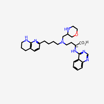 O=C(O)[C@H](CCN(CCCCc1ccc2c(n1)NCCC2)CC1COCCN1)Nc1ncnc2ccccc12